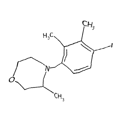 Cc1c(I)ccc(N2CCOCC2C)c1C